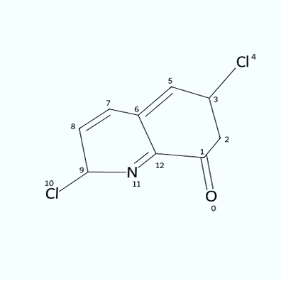 O=C1CC(Cl)C=C2C=CC(Cl)N=C12